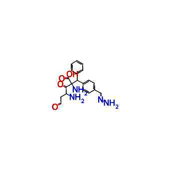 NN=Cc1ccc(C(c2ccccc2)C(N)(C(=O)O)C(=O)C(N)CC=O)cc1